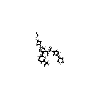 CCOC1CC(n2cc(NC(=O)c3ccc(-c4cn[nH]c4)o3)c(-c3cccc(C(F)(F)F)n3)n2)C1